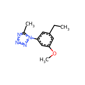 CCc1cc(OC)cc(-n2nnnc2C)c1